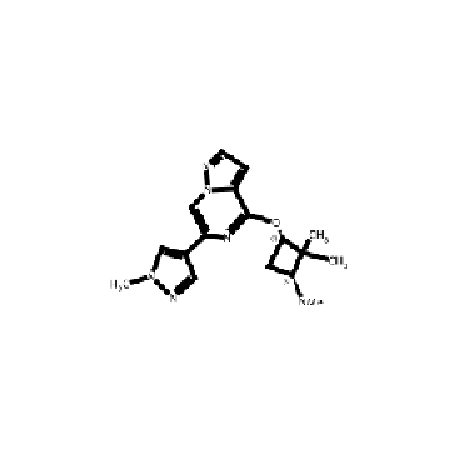 CN[C@H]1C[C@H](Oc2nc(-c3cnn(C)c3)cn3nccc23)C1(C)C